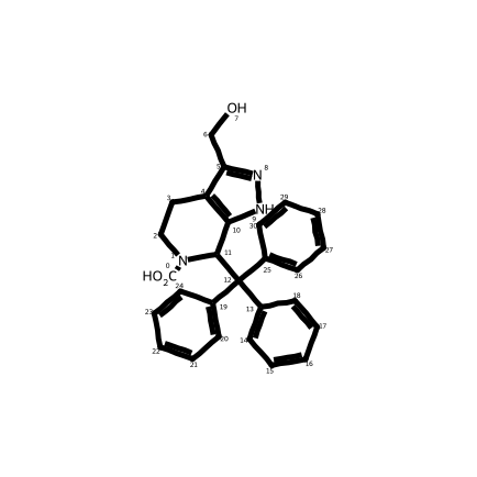 O=C(O)N1CCc2c(CO)n[nH]c2C1C(c1ccccc1)(c1ccccc1)c1ccccc1